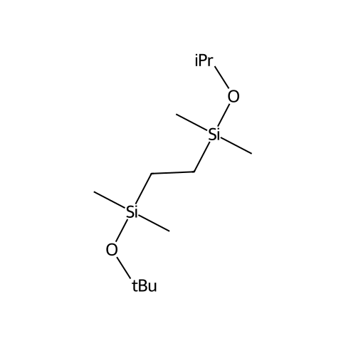 CC(C)O[Si](C)(C)CC[Si](C)(C)OC(C)(C)C